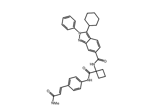 CNC(=O)C=Cc1ccc(NC(=O)C2(NC(=O)c3ccc4c(C5CCCCC5)n(-c5ccccc5)nc4c3)CCC2)cc1